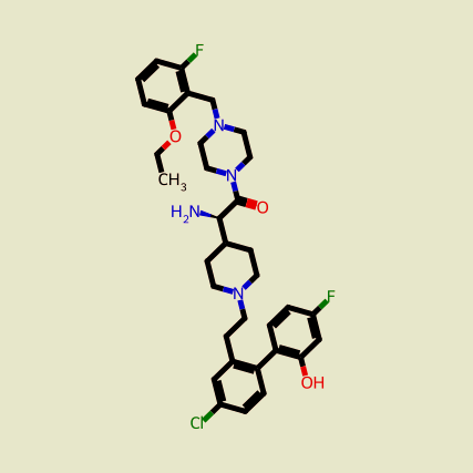 CCOc1cccc(F)c1CN1CCN(C(=O)[C@H](N)C2CCN(CCc3cc(Cl)ccc3-c3ccc(F)cc3O)CC2)CC1